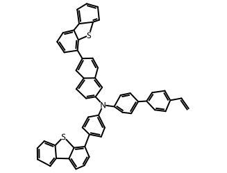 C=Cc1ccc(-c2ccc(N(c3ccc(-c4cccc5c4sc4ccccc45)cc3)c3ccc4cc(-c5cccc6c5sc5ccccc56)ccc4c3)cc2)cc1